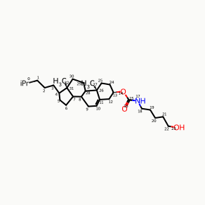 CC(C)CCCC1CCC2C3CC=C4C[C@H](OC(=O)NCCCCCO)CC[C@@]4(C)C3CC[C@@]12C